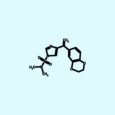 C=C(c1ccc2c(c1)OCCO2)c1cn(S(=O)(=O)N(C)C)cn1